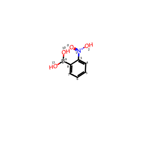 O=[N+](O)c1ccccc1B(O)O